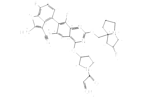 C=CC(=O)N1CCC(Oc2nc(OCC34CCCN3CC(F)C4)nc3c(F)c(-c4ccc(F)c5sc(N)c(C#N)c45)c(F)cc23)C1